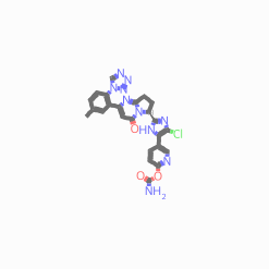 Cc1ccc(-n2cnnn2)c(-c2cc(=O)n3c(n2)CC[C@H]3c2nc(Cl)c(-c3ccc(OC(N)=O)nc3)[nH]2)c1